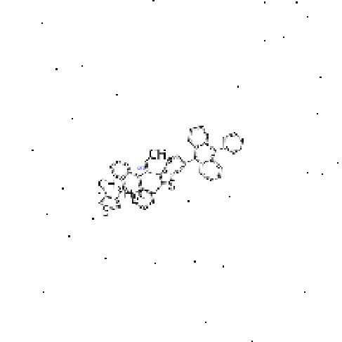 C=Cc1sc2cc(-c3c4ccccc4c(-c4ccccc4)c4ccccc34)ccc2c1/C(=C\C)c1c2ccccc2c(-c2cscc2C)c2ccccc12